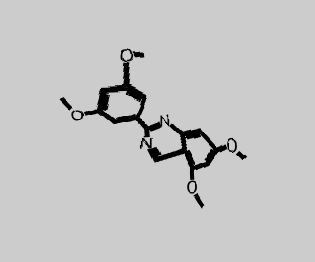 COc1cc(OC)cc(-c2ncc3c(OC)cc(OC)cc3n2)c1